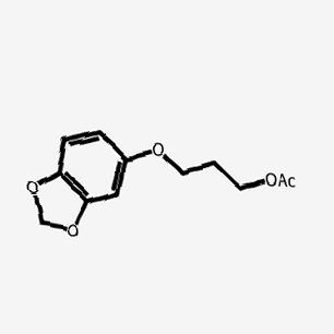 CC(=O)OCCCOc1ccc2c(c1)OCO2